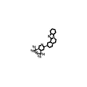 [2H]C([2H])([2H])c1cnc(-c2ccc3ccn4c5ccccc5nc4c3c2)cc1C([2H])([2H])[2H]